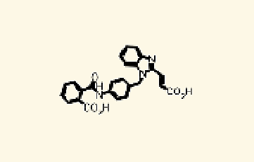 O=C(O)C=Cc1nc2ccccc2n1Cc1ccc(NC(=O)c2ccccc2C(=O)O)cc1